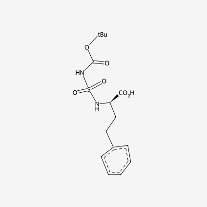 CC(C)(C)OC(=O)NS(=O)(=O)N[C@H](CCc1ccccc1)C(=O)O